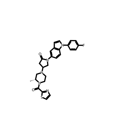 C[C@@H]1CN(C2CC(=O)N(c3ccc4c(ccn4-c4ccc(F)cc4)c3)C2)CCN1C(=O)c1nccs1